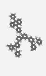 Cc1ccc2c(c1)c1cc(-c3ccc4c(c3)c3cc(-c5ccc6c(c5)c5cc(C)ccc5n6-c5ccccc5C)ccc3n4-c3ccc(-c4c5ccccc5c(-c5ccccc5)c5ccccc45)cc3)ccc1n2-c1ccccc1C